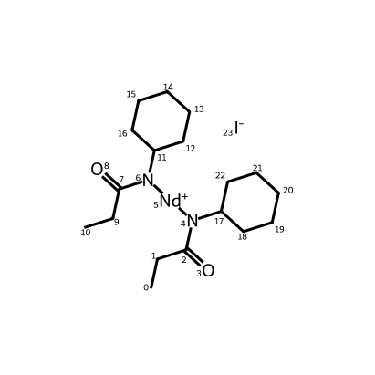 CCC(=O)[N]([Nd+][N](C(=O)CC)C1CCCCC1)C1CCCCC1.[I-]